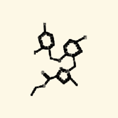 CCOC(=O)c1cc(C)n(Cc2cc(Cl)ccc2OCc2ccc(F)cc2F)n1